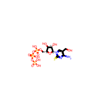 Nc1nc(=S)n([C@@H]2O[C@H](COP(=O)(O)OP(=O)(O)OP(=O)(O)O)C(O)[C@@H]2O)cc1CO